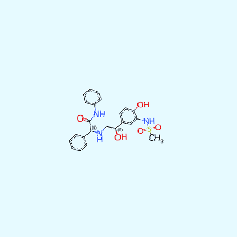 CS(=O)(=O)Nc1cc([C@@H](O)CN[C@H](C(=O)Nc2ccccc2)c2ccccc2)ccc1O